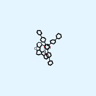 C1=c2oc3ccc4c5ccccc5n(-c5cccc(-c6ccc(-c7ccccc7)cc6)c5)c4c3c2=C(c2nc(-c3ccc(-c4ccccc4)cc3)nc(-c3ccc(-c4ccccc4)cc3)n2)CC1